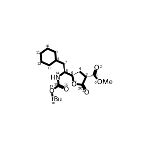 COC(=O)[C@H]1C[C@@H]([C@H](CC2CCCCC2)NC(=O)OC(C)(C)C)OC1=O